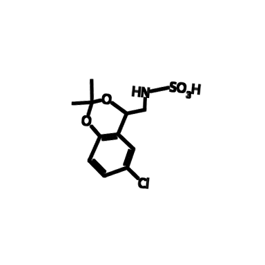 CC1(C)Oc2ccc(Cl)cc2C(CNS(=O)(=O)O)O1